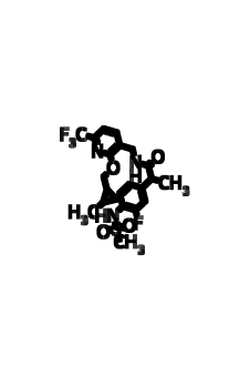 CC(C(=O)NCc1ccc(C(F)(F)F)nc1OCC1CC1C)c1ccc(NS(C)(=O)=O)c(F)c1